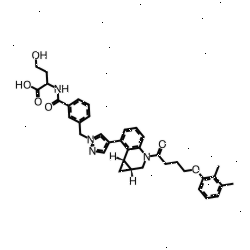 Cc1cccc(OCCCC(=O)N2C[C@@H]3C[C@@H]3c3c(-c4cnn(Cc5cccc(C(=O)NC(CCO)C(=O)O)c5)c4)cccc32)c1C